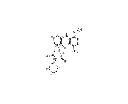 COc1ccc(C)cc1Nc1cccc2c1C[C@]21CC(=O)N(C2CCOCC2)C(=N)N1